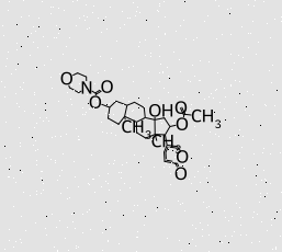 CC(=O)OC1CC2(O)C3CCC4CC(OC(=O)N5CCOCC5)CCC4(C)C3CCC2(C)C1c1ccc(=O)oc1